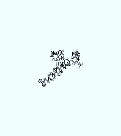 COCC1(CN(C)c2cc(-c3cc(C4CC4)nc(C(F)(F)F)c3)nc3nc(-c4cnc(N5CCN(CCC(=O)[O-])CC5)cn4)[nH]c23)CCCCC1.[Na+]